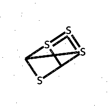 S1C2S3=S=S2C13